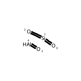 O=[Si]=O.[O]=[AlH]